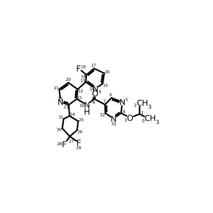 CC(C)Oc1ncc(C(=O)Nc2c(-c3ncccc3F)ccnc2C2CCC(F)(F)CC2)cn1